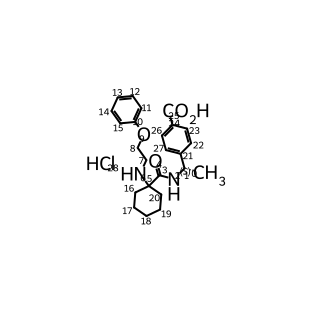 C[C@H](NC(=O)C1(NCCOc2ccccc2)CCCCC1)c1ccc(C(=O)O)cc1.Cl